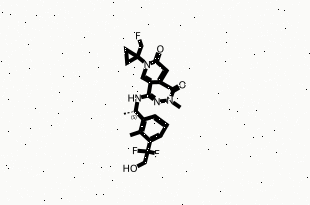 Cc1c([C@H](C)Nc2nn(C)c(=O)c3cc(=O)n(C4(CF)CC4)cc23)cccc1C(F)(F)CO